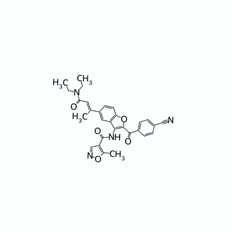 CCN(CC)C(=O)/C=C(\C)c1ccc2oc(C(=O)c3ccc(C#N)cc3)c(NC(=O)c3cnoc3C)c2c1